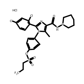 Cc1c(C(=O)NN2CCCCC2)nc(-c2ccc(Cl)cc2Cl)n1-c1ccc(OS(=O)(=O)CCC(F)(F)F)cc1.Cl